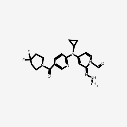 CN/N=c1/cc(N(c2ccc(C(=O)N3CCC(F)(F)CC3)cn2)C2CC2)ccn1C=O